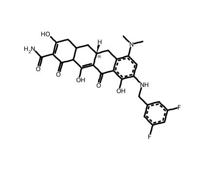 CN(C)c1cc(NCc2cc(F)cc(F)c2)c(O)c2c1C[C@H]1CC3CC(O)=C(C(N)=O)C(=O)C3C(O)=C1C2=O